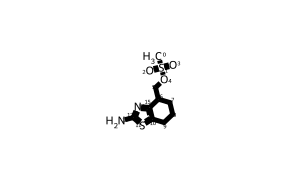 CS(=O)(=O)OCC1CCCc2sc(N)nc21